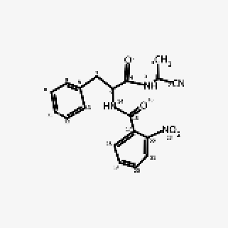 CC(C#N)NC(=O)C(Cc1ccccc1)NC(=O)c1ccccc1[N+](=O)[O-]